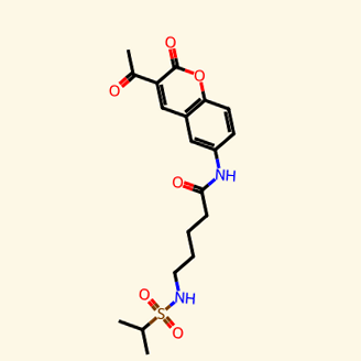 CC(=O)c1cc2cc(NC(=O)CCCCNS(=O)(=O)C(C)C)ccc2oc1=O